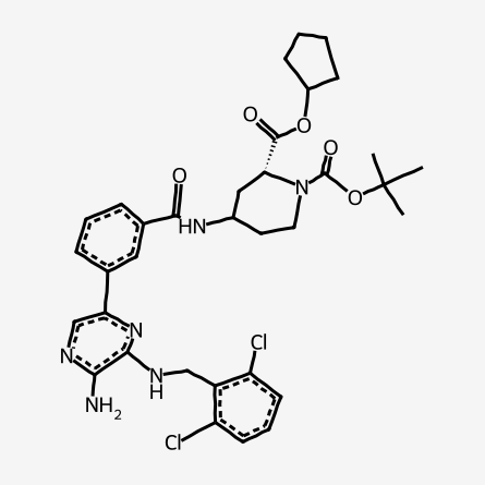 CC(C)(C)OC(=O)N1CCC(NC(=O)c2cccc(-c3cnc(N)c(NCc4c(Cl)cccc4Cl)n3)c2)C[C@@H]1C(=O)OC1CCCC1